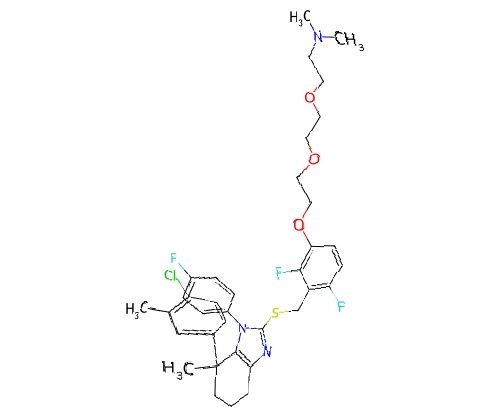 Cc1cc(C2(C)CCCc3nc(SCc4c(F)ccc(OCCOCCOCCN(C)C)c4F)n(-c4ccc(F)cc4)c32)ccc1Cl